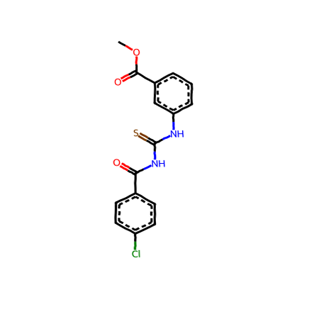 COC(=O)c1cccc(NC(=S)NC(=O)c2ccc(Cl)cc2)c1